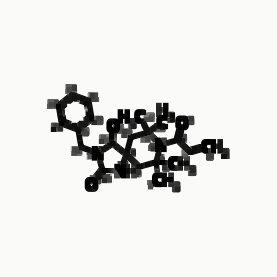 C=CC(=O)N1C(C)(C)CC2(CC1(C)C)NC(=O)N(Cc1ccccc1)C2=O